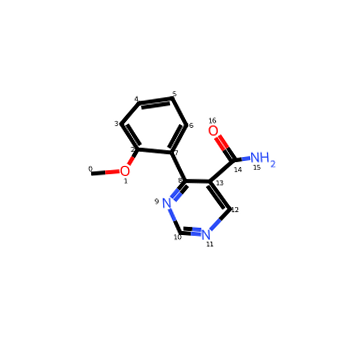 COc1ccccc1-c1ncncc1C(N)=O